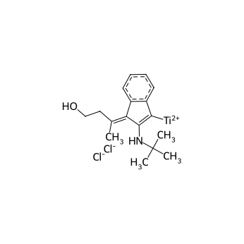 CC(CCO)=C1C(NC(C)(C)C)=[C]([Ti+2])c2ccccc21.[Cl-].[Cl-]